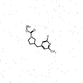 Cc1cc(CC2CCN(C(=O)OC(C)(C)C)C2)cc(F)n1